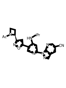 CC(=O)N1CC[C@H]1c1cc(-c2cnc(-n3ncc4cc(C#N)cnc43)cc2NC(C)C)on1